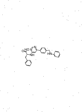 O=C(O)[C@H](Cc1ccccc1)Nc1cc(-c2ccc(CNc3ccccc3)cc2)ncn1